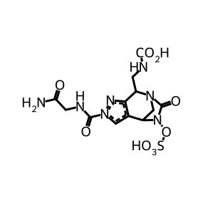 NC(=O)CNC(=O)n1cc2c(n1)C(CNC(=O)O)N1CC2N(OS(=O)(=O)O)C1=O